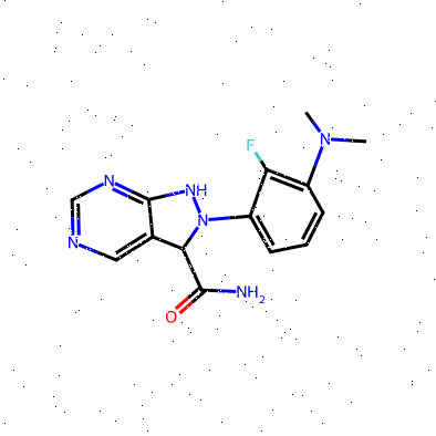 CN(C)c1cccc(N2Nc3ncncc3C2C(N)=O)c1F